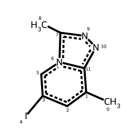 Cc1cc(I)cn2c(C)nnc12